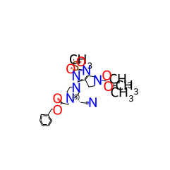 CC(C)(C)OC(=O)N1CCc2c(nc(S(C)(=O)=O)nc2N2CCN(CC(=O)OCc3ccccc3)[C@@H](CC#N)C2)C1